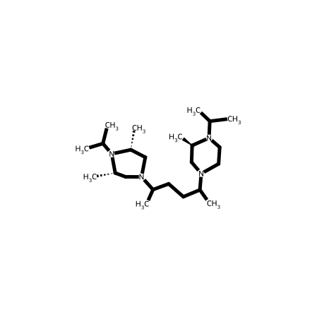 CC(CCC(C)N1C[C@@H](C)N(C(C)C)[C@@H](C)C1)N1CCN(C(C)C)[C@H](C)C1